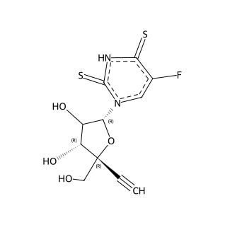 C#C[C@]1(CO)O[C@@H](n2cc(F)c(=S)[nH]c2=S)C(O)[C@H]1O